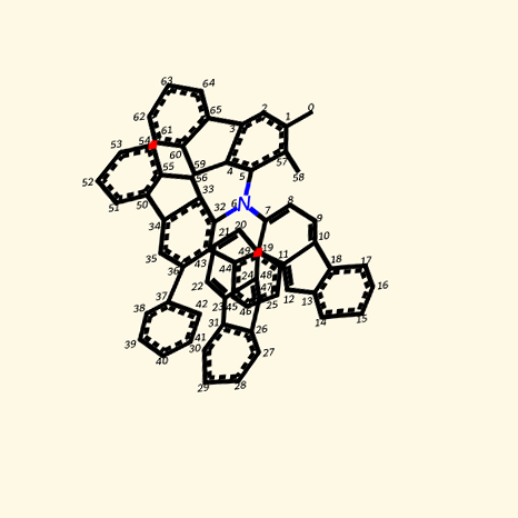 Cc1cc2c(c(N(C3=CC=C4C(=Cc5ccccc54)C34C=CC=C3C4=Cc4ccccc43)c3c4c(cc(-c5ccccc5)c3-c3ccccc3)-c3ccccc3C4)c1C)Cc1ccccc1-2